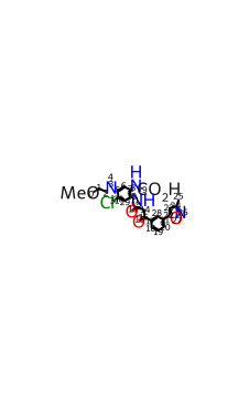 COCCN(C)c1cc(NC(=O)O)c(NC(=O)CC(=O)c2cccc(-c3cc(C)no3)c2)cc1Cl